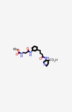 CC(C)(C)OC(=O)NCCC(=O)Nc1cccc(CCCC(=O)Nc2cnccc2C(=O)O)c1